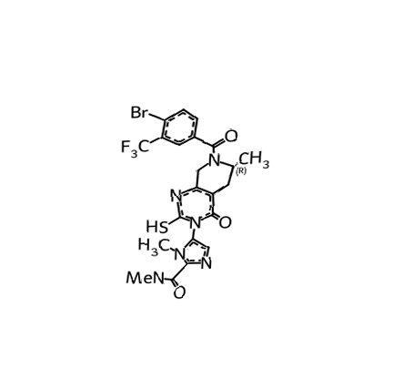 CNC(=O)c1ncc(-n2c(S)nc3c(c2=O)C[C@@H](C)N(C(=O)c2ccc(Br)c(C(F)(F)F)c2)C3)n1C